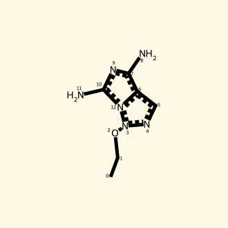 CCOn1ncc2c(N)nc(N)n21